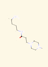 CN1CCN(CCC(=O)NCCC[C@H](N)C(=O)O)CC1